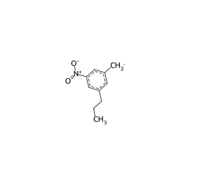 [CH2]c1cc(CCC)cc([N+](=O)[O-])c1